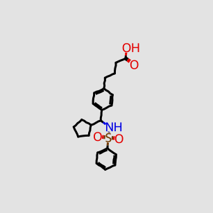 O=C(O)CCCc1ccc(C(NS(=O)(=O)c2ccccc2)C2CCCC2)cc1